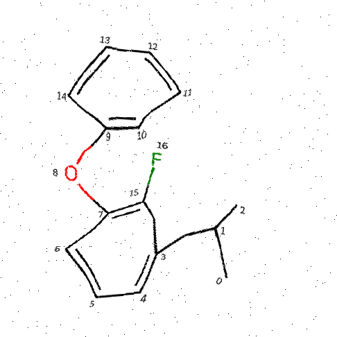 CC(C)c1cccc(Oc2ccccc2)c1F